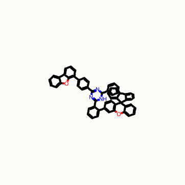 c1ccc(C2N=C(c3ccc(-c4cccc5c4oc4ccccc45)cc3)N=C(c3ccccc3-c3ccc4c(c3)Oc3ccccc3C43c4ccccc4-c4ccccc43)N2)cc1